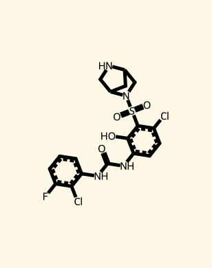 O=C(Nc1ccc(Cl)c(S(=O)(=O)N2CC3CC2CN3)c1O)Nc1cccc(F)c1Cl